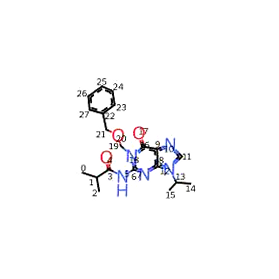 CC(C)C(=O)Nc1nc2c(ncn2C(C)C)c(=O)n1COCc1ccccc1